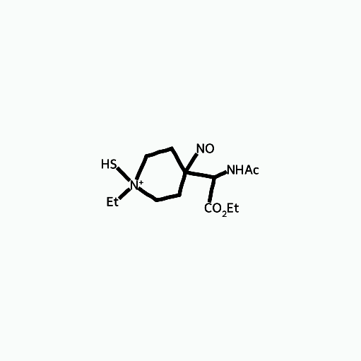 CCOC(=O)C(NC(C)=O)C1(N=O)CC[N+](S)(CC)CC1